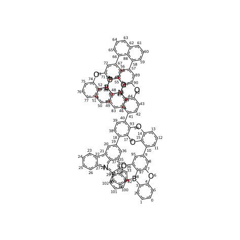 c1ccc2c(c1)Oc1cc(-c3cccc4c3Oc3c(-c5cc6c7ccccc7n7c8ccccc8c(c5)c67)ccc(-c5ccc6c(c5)N5c7ccccc7Oc7cc(-c8cccc9cccc(-c%10cc%11c%12c(c%10)Oc%10ccccc%10B%12c%10ccccc%10O%11)c89)cc(c75)O6)c3O4)cc3c1B2c1ccccc1O3